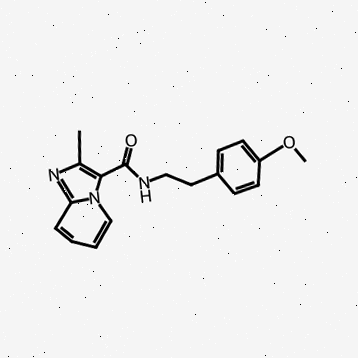 COc1ccc(CCNC(=O)c2c(C)nc3ccccn23)cc1